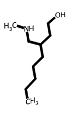 CCCCCC(CCO)CNC